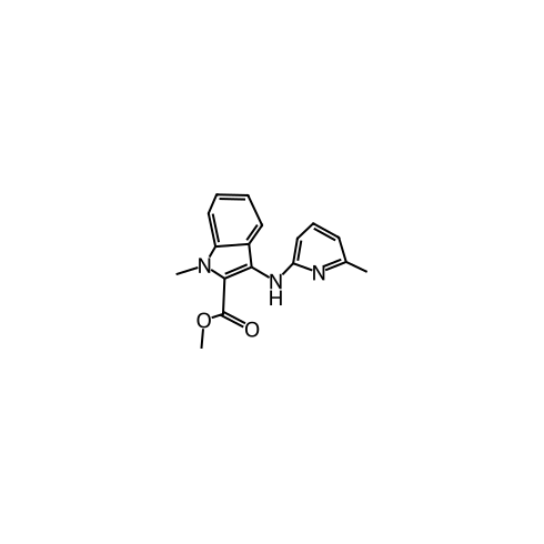 COC(=O)c1c(Nc2cccc(C)n2)c2ccccc2n1C